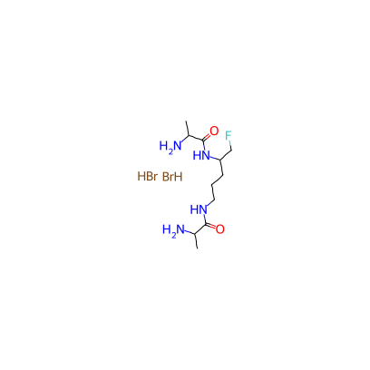 Br.Br.CC(N)C(=O)NCCCC(CF)NC(=O)C(C)N